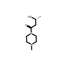 C[C@@H](O)CC(=O)N1CCN(C)CC1